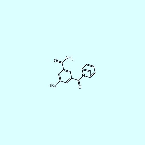 CC(C)(C)c1cc(C(N)=O)cc(C(=O)N2C3=CC=CC2=C3)c1